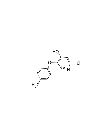 Cc1ccc(Oc2nnc(Cl)cc2O)cc1